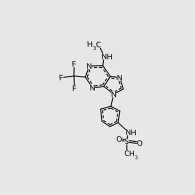 CNc1nc(C(F)(F)F)nc2c1ncn2-c1cccc(NS(C)(=O)=O)c1